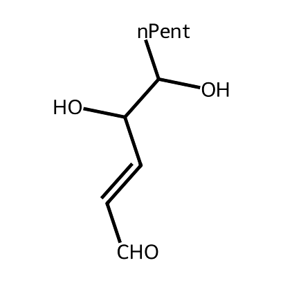 CCCCCC(O)C(O)C=CC=O